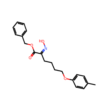 Cc1ccc(OCCCCC(=NO)C(=O)OCc2ccccc2)cc1